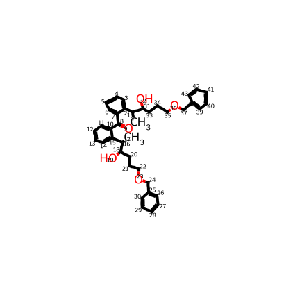 CC(c1ccccc1C(=O)c1ccccc1C(C)C(O)CCCOCc1ccccc1)C(O)CCCOCc1ccccc1